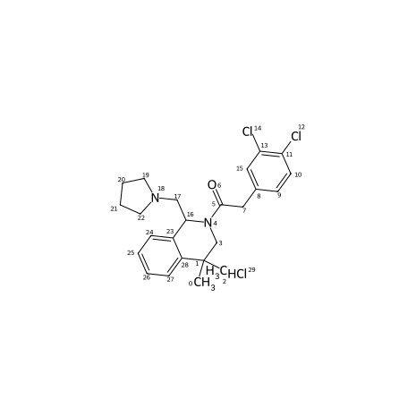 CC1(C)CN(C(=O)Cc2ccc(Cl)c(Cl)c2)C(CN2CCCC2)c2ccccc21.Cl